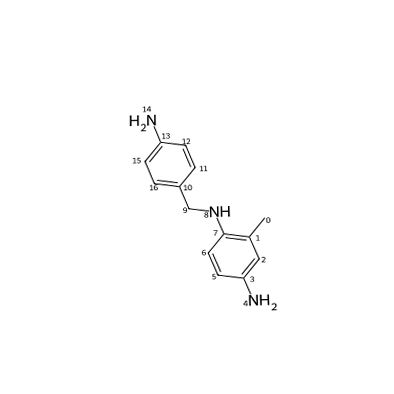 Cc1cc(N)ccc1NCc1ccc(N)cc1